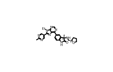 CCn1c(-c2cnc(C)nc2)nc2c(-c3ccc4c(c3)[C@](C)(NC[C@H]3CCCO3)C(=O)N4)ncnc21